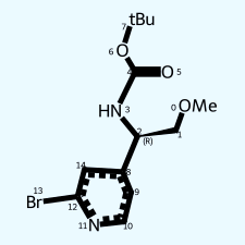 COC[C@H](NC(=O)OC(C)(C)C)c1ccnc(Br)c1